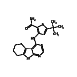 CC(C)(C)c1cc(Nc2ncnc3[se]c4c(c23)CCCC4)c(C(N)=O)s1